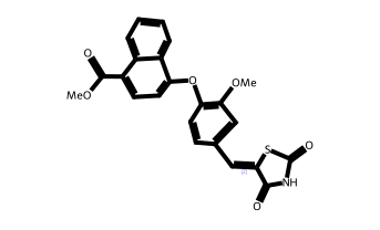 COC(=O)c1ccc(Oc2ccc(/C=C3\SC(=O)NC3=O)cc2OC)c2ccccc12